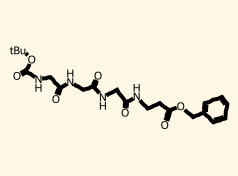 CC(C)(C)OC(=O)NCC(=O)NCC(=O)NCC(=O)NCCC(=O)OCc1ccccc1